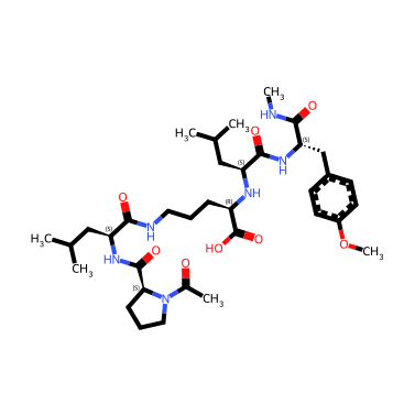 CNC(=O)[C@H](Cc1ccc(OC)cc1)NC(=O)[C@H](CC(C)C)N[C@H](CCCNC(=O)[C@H](CC(C)C)NC(=O)[C@@H]1CCCN1C(C)=O)C(=O)O